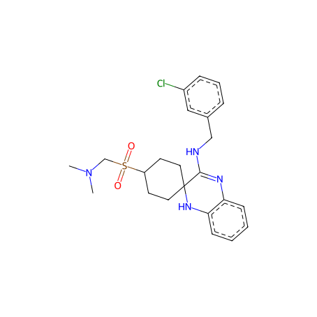 CN(C)CS(=O)(=O)C1CCC2(CC1)Nc1ccccc1N=C2NCc1cccc(Cl)c1